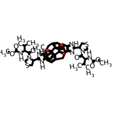 COC(=O)NC(C(=O)N1CSCC1c1nc2cc(-c3cc4ccc3CCc3ccc(c(-c5ccc6[nH]c(C7CSCN7C(=O)C(NC(=O)OC)C(C)C)nc6c5)c3)C[C@H]4C)ccc2[nH]1)C(C)C